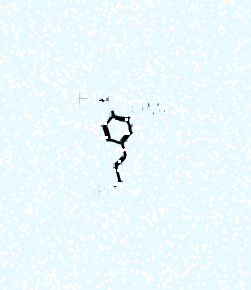 COc1cc(/C=C/CC(C)C)ccc1SS